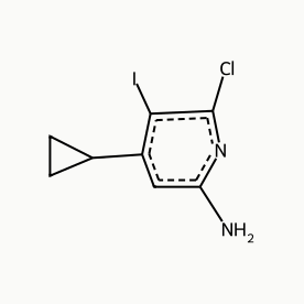 Nc1cc(C2CC2)c(I)c(Cl)n1